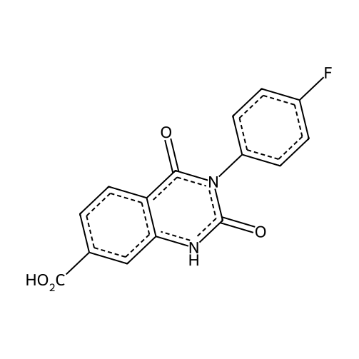 O=C(O)c1ccc2c(=O)n(-c3ccc(F)cc3)c(=O)[nH]c2c1